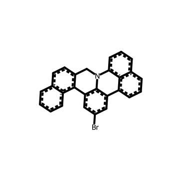 Brc1cc2c3c(c1)-c1cccc4cccc(c14)N3Cc1ccc3ccccc3c1-2